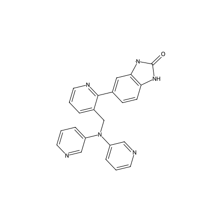 O=C1[N]c2cc(-c3ncccc3CN(c3cccnc3)c3cccnc3)ccc2N1